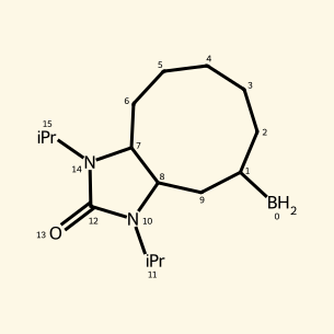 BC1CCCCCC2C(C1)N(C(C)C)C(=O)N2C(C)C